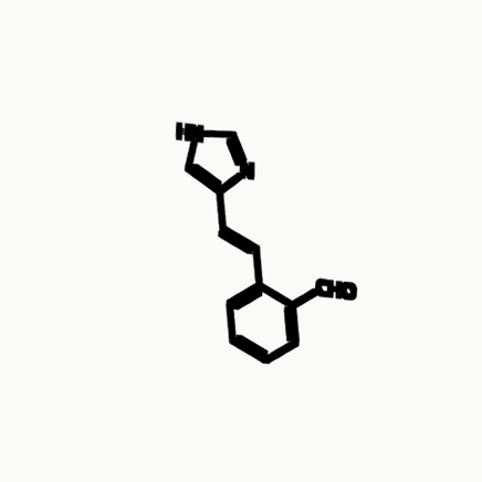 O=Cc1ccccc1C=Cc1c[nH]cn1